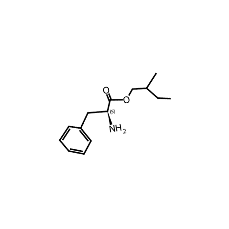 CCC(C)COC(=O)[C@@H](N)Cc1ccccc1